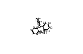 [N-]=[N+]=S1c2ccccc2Nc2ccccc21